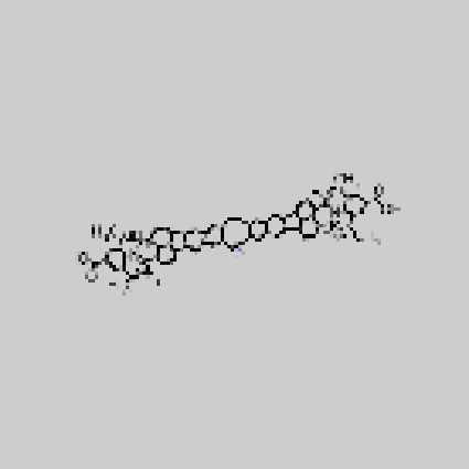 CC(C)c1cc(C(=O)O)cc(C(C)C)c1N1C(=O)c2ccc3c4c(ccc(c24)C1=O)-c1cc2cc4c(cc2cc1-3)/C=C\c1cc2cc3c(cc2cc1CC4)-c1ccc2c4c(ccc-3c14)C(=O)N(c1c(C(C)C)cc(C(=O)O)cc1C(C)C)C2=O